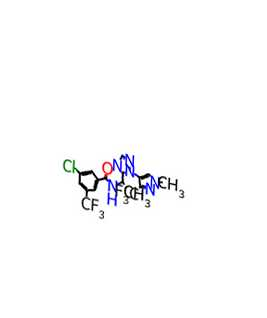 CC(NC(=O)c1cc(Cl)cc(C(F)(F)F)c1)c1ncnn1-c1cn(C)nc1C(F)(F)F